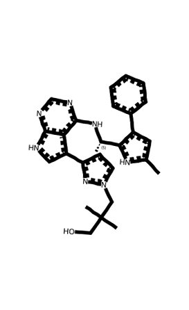 Cc1cc(-c2ccccc2)c([C@H](C)Nc2ncnc3[nH]cc(-c4ccn(CC(C)(C)CO)n4)c23)[nH]1